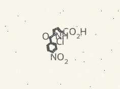 O=C(O)c1ccc(C(=O)c2ccc([N+](=O)[O-])cc2Cl)[nH]1